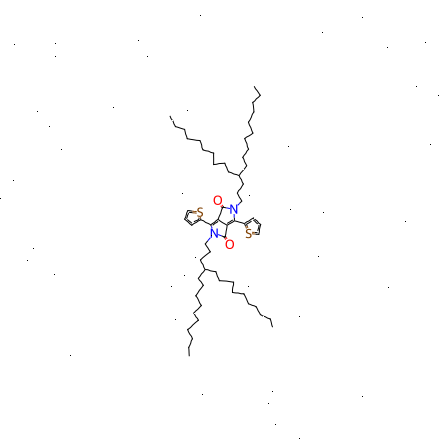 CCCCCCCCCCC(CCCCCCCCCC)CCCN1C(=O)C2=C(c3cccs3)N(CCCC(CCCCCCCCCC)CCCCCCCCCC)C(=O)C2=C1c1cccs1